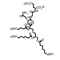 CCCCCCCCCCCCCCCC(=O)OC[C@H](CSCC(NC(=O)CCCCCCCCCCCCC)C(=O)N[C@H](CCC(N)=O)C(=O)NCC(=O)N[C@H](CCC(=O)O)C(=O)O)OC(=O)CCCCCCCCCCCCCCC